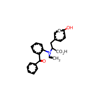 C=CN(c1ccccc1C(=O)c1ccccc1)C(Cc1ccc(O)cc1)C(=O)O